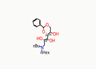 CCCCCCN(CCCC)C[C@H](O)[C@@H](O)[C@@H]1OC(c2ccccc2)OC[C@H]1O